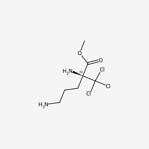 COC(=O)[C@@](N)(CCCN)C(Cl)(Cl)Cl